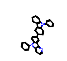 C1=Cc2c(c3cc(-c4ccc5c(c4)c4ncccc4n5-c4ccccc4)ccc3n2-c2ccccc2)CC1